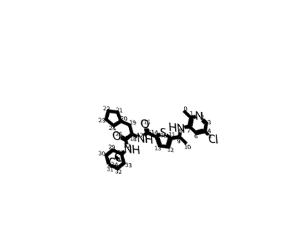 Cc1ncc(Cl)cc1NC(C)c1ccc(C(=O)NC(CC2CCCC2)C(=O)NC23CCC(CC2)CC3)s1